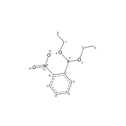 CCOP(OCC)c1ccccc1[N+](=O)[O-]